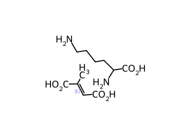 C/C(=C\C(=O)O)C(=O)O.NCCCCC(N)C(=O)O